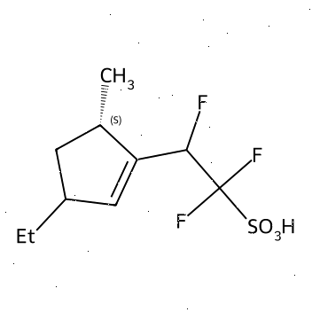 CCC1C=C(C(F)C(F)(F)S(=O)(=O)O)[C@@H](C)C1